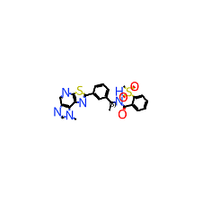 C[C@H](NC(=O)c1ccccc1S(C)(=O)=O)c1cccc(-c2nc3c(ncc4ncn(C)c43)s2)c1